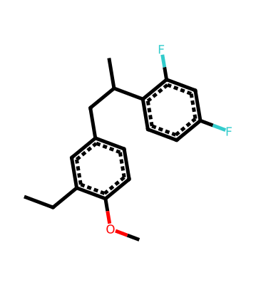 CCc1cc(CC(C)c2ccc(F)cc2F)ccc1OC